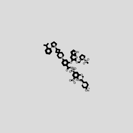 CC(C)c1ccccc1[C@@H]1CCCN1C1CC2(CCN(c3ccc(C(=O)NS(=O)(=O)c4cc5c(c([N+](=O)[O-])c4)N[C@@H]([C@H]4CC[C@](C)(O)CC4)CO5)c(Oc4cc5cc[nH]c5nc4OC[C@H]4CCCN4S(C)(=O)=O)c3)CC2)C1